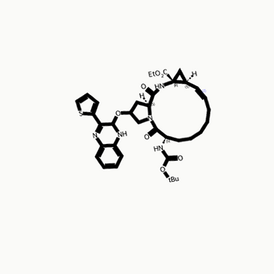 CCOC(=O)[C@@]12C[C@H]1/C=C\CCCCC[C@H](NC(=O)OC(C)(C)C)C(=O)N1CC(OC3Nc4ccccc4N=C3c3cccs3)C[C@H]1C(=O)N2